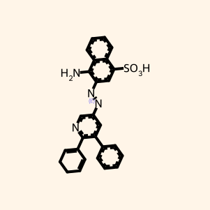 Nc1c(/N=N/c2cnc(C3=CCCC=C3)c(-c3ccccc3)c2)cc(S(=O)(=O)O)c2ccccc12